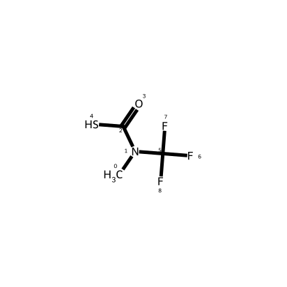 CN(C(=O)S)C(F)(F)F